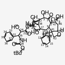 CC1=C2[C@@H](O)C(=O)[C@@]3(C)[C@H]([C@H](c4ccccc4)[C@](O)(CC1OC(=O)C(O)C(NC(=O)OC(C)(C)C)c1ccccc1)C2(C)C)[C@]1(C)CO[C@@H]1C[C@@H]3O